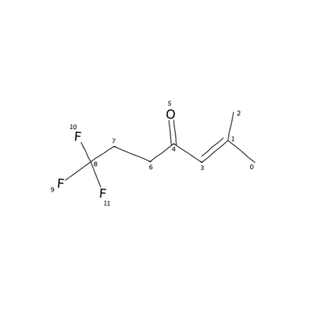 CC(C)=CC(=O)CCC(F)(F)F